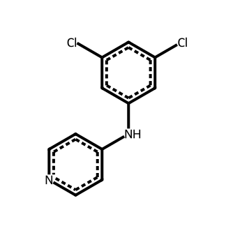 Clc1cc(Cl)cc(Nc2ccncc2)c1